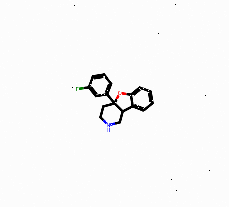 Fc1cccc(C23CCNCC2c2ccccc2O3)c1